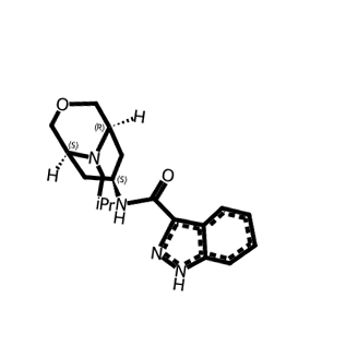 CC(C)CN1[C@@H]2COC[C@H]1C[C@@H](NC(=O)c1n[nH]c3ccccc13)C2